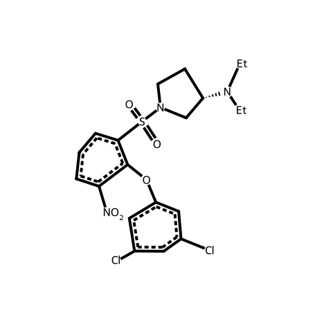 CCN(CC)[C@H]1CCN(S(=O)(=O)c2cccc([N+](=O)[O-])c2Oc2cc(Cl)cc(Cl)c2)C1